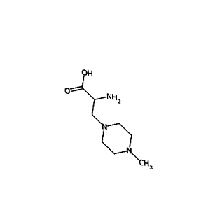 CN1CCN(CC(N)C(=O)O)CC1